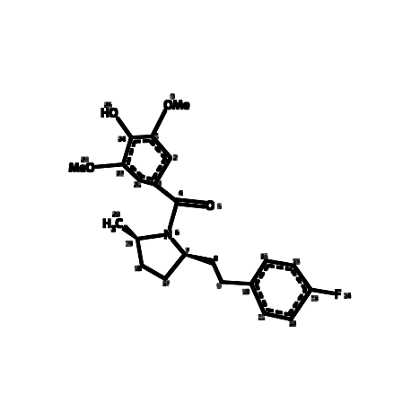 COc1cc(C(=O)N2[C@@H](CCc3ccc(F)cc3)CC[C@H]2C)cc(OC)c1O